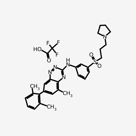 Cc1cccc(C)c1-c1cc(C)c2nc(Nc3cccc(S(=O)(=O)CCCN4CCCC4)c3)nnc2c1.O=C(O)C(F)(F)F